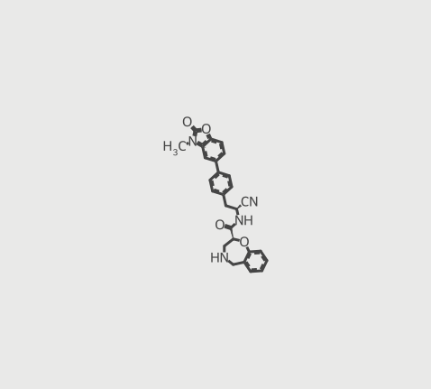 Cn1c(=O)oc2ccc(-c3ccc(C[C@@H](C#N)NC(=O)[C@@H]4CNCc5ccccc5O4)cc3)cc21